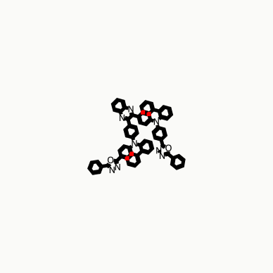 c1ccc(-c2nnc(-c3ccc(N(c4ccc(-c5nc6ccccc6nc5-c5ccc(N(c6ccc(-c7nnc(-c8ccccc8)o7)cc6)c6ccccc6-c6ccccc6)cc5)cc4)c4ccccc4-c4ccccc4)cc3)o2)cc1